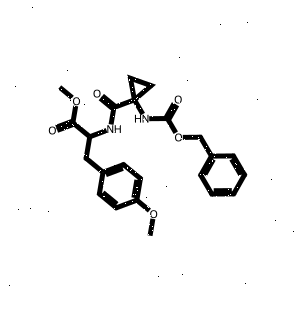 COC(=O)C(Cc1ccc(OC)cc1)NC(=O)C1(NC(=O)OCc2ccccc2)CC1